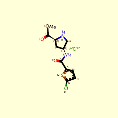 COC(=O)[C@@H]1C[C@@H](NC(=O)c2ccc(Cl)s2)CN1.Cl